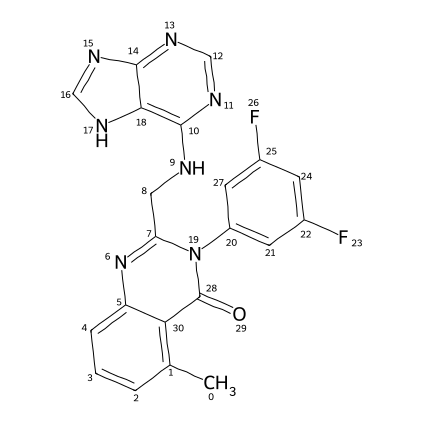 Cc1cccc2nc(CNc3ncnc4nc[nH]c34)n(-c3cc(F)cc(F)c3)c(=O)c12